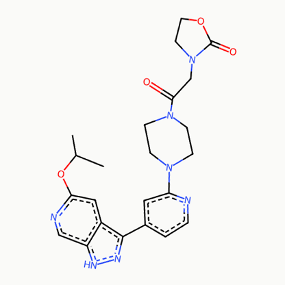 CC(C)Oc1cc2c(-c3ccnc(N4CCN(C(=O)CN5CCOC5=O)CC4)c3)n[nH]c2cn1